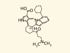 CN(C)CCC(=O)C1CCCC2=c3[nH]cc(C(=O)O)c3=Cn3c(cc4cccc(C5CCCCC5)c43)[C@H]21